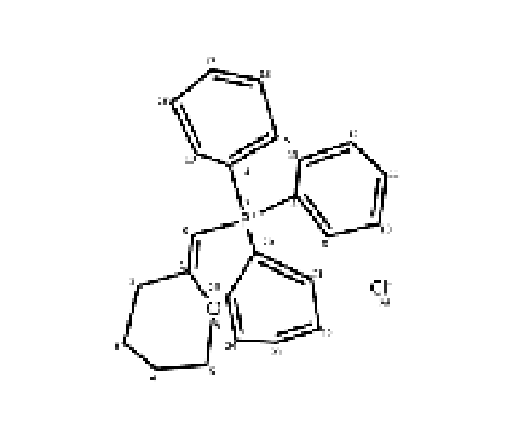 C(=C1\CCCCO1)/[P+](c1ccccc1)(c1ccccc1)c1ccccc1.[Cl-]